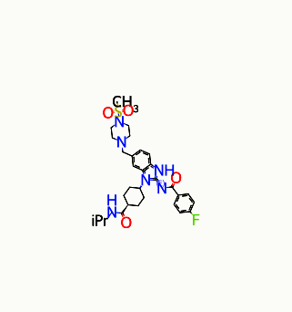 CC(C)NC(=O)[C@H]1CC[C@@H](n2/c(=N/C(=O)c3ccc(F)cc3)[nH]c3ccc(CN4CCN(S(C)(=O)=O)CC4)cc32)CC1